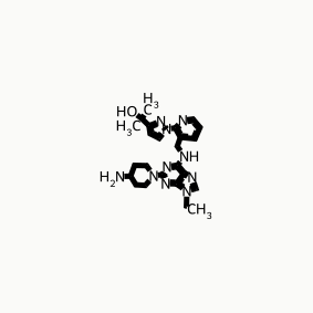 CCn1cnc2c(NCc3cccnc3-n3ccc(C(C)(C)O)n3)nc(N3CCC(N)CC3)nc21